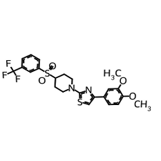 COc1ccc(-c2csc(N3CCC(S(=O)(=O)c4cccc(C(F)(F)F)c4)CC3)n2)cc1OC